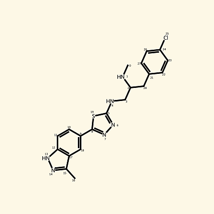 CNC(CNc1nnc(-c2ccc3[nH]nc(C)c3c2)s1)Cc1ccc(Cl)cc1